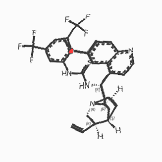 C=C[C@H]1C[N@]2CC[C@H]1C[C@@H]2[C@H](NC(=S)Nc1cc(C(F)(F)F)cc(C(F)(F)F)c1)c1ccnc2ccc(OC)cc12